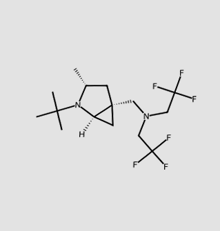 C[C@@H]1C[C@@]2(CN(CC(F)(F)F)CC(F)(F)F)C[C@H]2N1C(C)(C)C